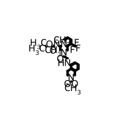 COC(=O)N1CCc2c(cccc2NCC(=O)N(CCN(C)C(=O)OC(C)(C)C)Cc2ncccc2C(F)(F)F)C1